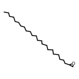 CCCCCCCCCCCCCCCCCCCCCCCC1CO1